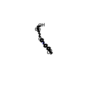 C=C(C)C(=O)Oc1ccc(-c2ccc(/C=C/c3ccc(OCCCCCCOC(=O)C(=C)CO)cc3)cc2)cc1